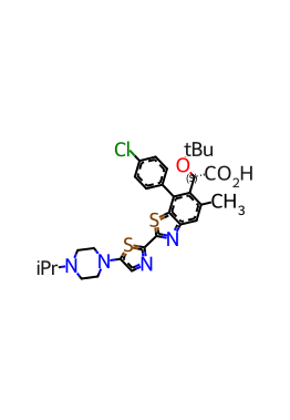 Cc1cc2nc(-c3ncc(N4CCN(C(C)C)CC4)s3)sc2c(-c2ccc(Cl)cc2)c1[C@H](OC(C)(C)C)C(=O)O